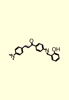 CN(C)c1ccc(/C=C/C(=O)c2ccc(N=Cc3ccccc3O)cc2)cc1